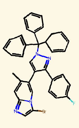 Cc1cc2ncc(Br)n2cc1-c1cn(C(c2ccccc2)(c2ccccc2)C2C=CC=CC2)nc1-c1ccc(F)cc1